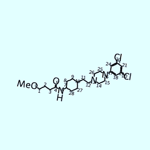 COCCCC(=O)NC1CCC(CCN2CCN(c3cc(Cl)cc(Cl)c3)CC2)CC1